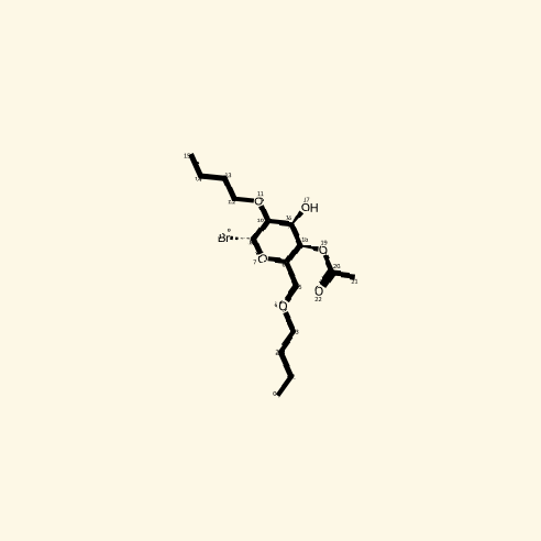 CCCCOCC1O[C@H](Br)C(OCCCC)[C@@H](O)[C@H]1OC(C)=O